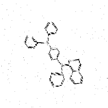 c1ccc(N(c2ccccc2)c2ccc(N3c4ccccc4-c4cccc5cccc3c45)cc2)cc1